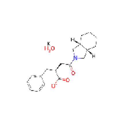 O.O=C([O-])[C@H](CC(=O)N1C[C@H]2CCCC[C@H]2C1)Cc1ccccc1.[K+]